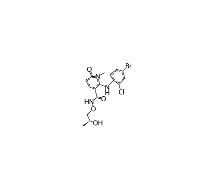 C[C@H](O)CONC(=O)c1ccc(=O)n(C)c1Nc1ccc(Br)cc1Cl